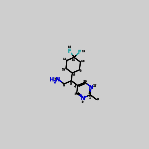 Cc1ncc(C(CN)C2CCC(F)(F)CC2)cn1